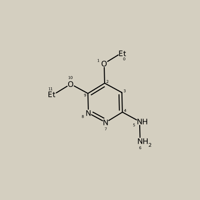 CCOc1cc(NN)nnc1OCC